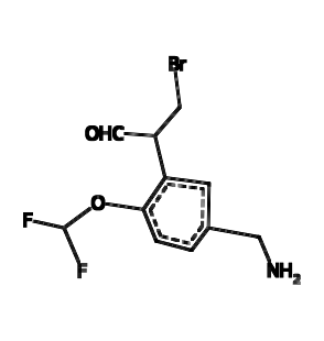 NCc1ccc(OC(F)F)c(C(C=O)CBr)c1